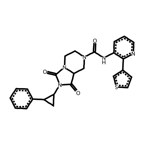 O=C(Nc1cccnc1-c1ccsc1)N1CCN2C(=O)N(C3CC3c3ccccc3)C(=O)C2C1